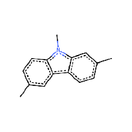 Cc1ccc2c(c1)c1ccc(C)cc1n2C